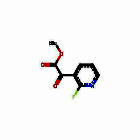 CC(C)(C)OC(=O)C(=O)c1cccnc1F